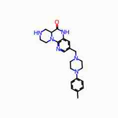 Cc1ccc(N2CCN(Cc3cnc4c(c3)NC(=O)C3CNCCN43)CC2)cc1